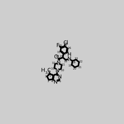 C[C@@H]1CCc2ncnc(N3CCN(C(=O)C(CNC4CCCCC4)c4ccc(Cl)c(F)c4)CC3)c21